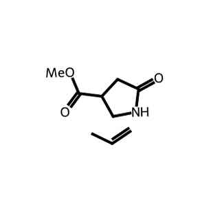 C=CC.COC(=O)C1CNC(=O)C1